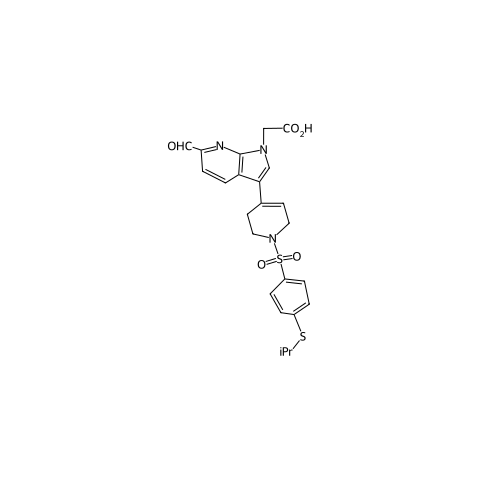 CC(C)Sc1ccc(S(=O)(=O)N2CC=C(c3cn(CC(=O)O)c4nc(C=O)ccc34)CC2)cc1